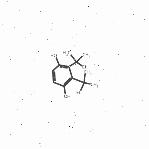 CCC(C)(C)c1c(O)ccc(O)c1C(C)(C)CC